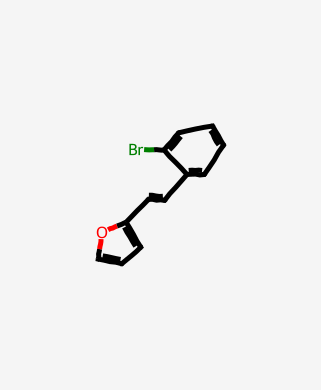 Brc1ccccc1C=Cc1ccco1